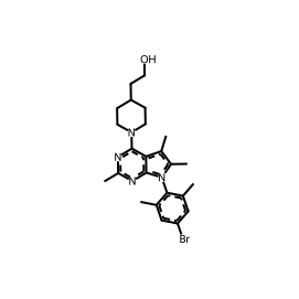 Cc1nc(N2CCC(CCO)CC2)c2c(C)c(C)n(-c3c(C)cc(Br)cc3C)c2n1